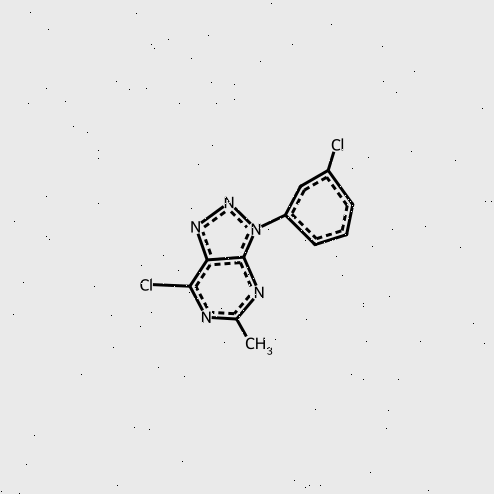 Cc1nc(Cl)c2nnn(-c3cccc(Cl)c3)c2n1